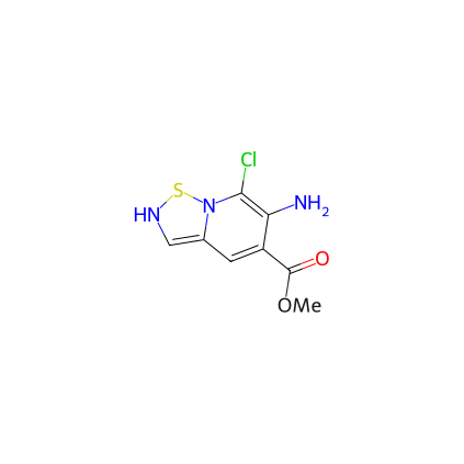 COC(=O)C1=CC2=CNSN2C(Cl)=C1N